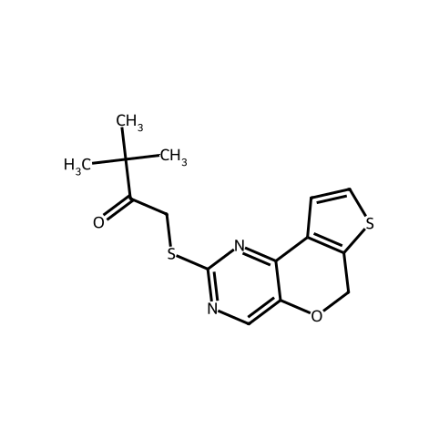 CC(C)(C)C(=O)CSc1ncc2c(n1)-c1ccsc1CO2